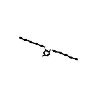 C#CC#CC#CC#CC#COc1ccc(C)cc1OC#CC#CC#CC#CC#C